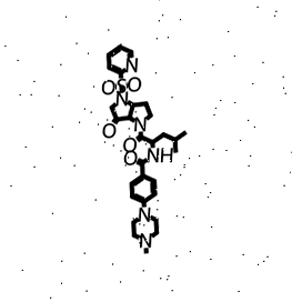 CC(C)CC(NC(=O)c1ccc(N2CCN(C)CC2)cc1)C(=O)N1CCC2C1C(=O)CN2S(=O)(=O)c1ccccn1